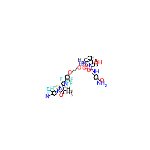 CC(C)(C)[C@H](NC(=O)COCCCCOc1ccc(-c2ncc(N3C(=S)N(c4ccc(C#N)c(C(F)(F)F)c4F)C(=O)C3(C)C)cc2F)c(C(F)(F)F)c1)C(=O)N1C[C@H](O)C[C@H]1C(=O)NCc1ccc(C(N)=O)cc1